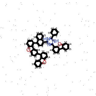 c1ccc(C2NC(c3ccc(-c4cccc5oc6ccc(-c7cccc8oc9ccccc9c78)cc6c45)c4ccccc34)=NC(c3cccc4c3oc3ccccc34)N2)cc1